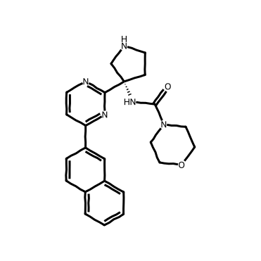 O=C(N[C@@]1(c2nccc(-c3ccc4ccccc4c3)n2)CCNC1)N1CCOCC1